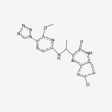 COc1nc(NC(C)c2nc3cc(Cl)ccc3[nH]c2=O)ccc1-n1cnnn1